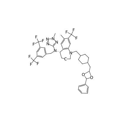 Cc1cc2c(cc1C(F)(F)F)N(CC1CCC(CC3OC(c4ccccc4)O3)CC1)CCC[C@@H]2N(Cc1cc(C(F)(F)F)cc(C(F)(F)F)c1)c1nnn(C)n1